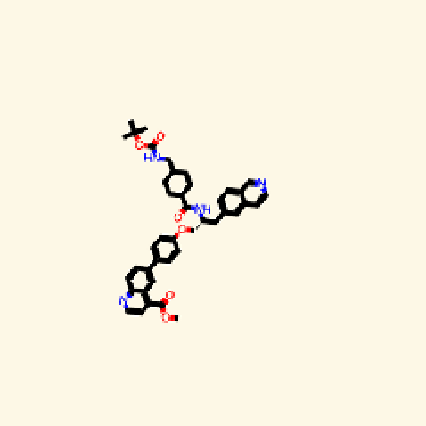 COC(=O)c1ccnc2ccc(-c3ccc(OC[C@@H](Cc4ccc5cnccc5c4)NC(=O)C4CCC(CNC(=O)OC(C)(C)C)CC4)cc3)cc12